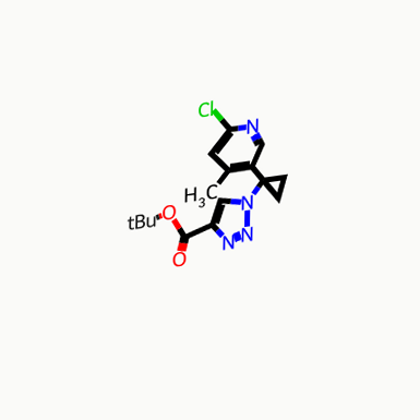 Cc1cc(Cl)ncc1C1(n2cc(C(=O)OC(C)(C)C)nn2)CC1